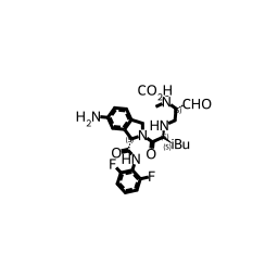 CC[C@H](C)[C@H](NC[C@@H](C=O)N(C)C(=O)O)C(=O)N1Cc2ccc(N)cc2[C@H]1C(=O)Nc1c(F)cccc1F